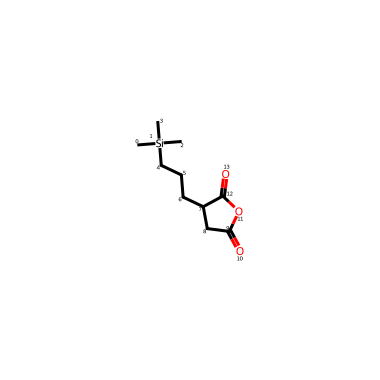 C[Si](C)(C)CCCC1CC(=O)OC1=O